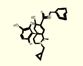 CCc1ccc(O)c(OC)c1[C@]12CCN(CC3CC3)[C@H](C)C1C=C(C(=O)NCc1ccccc1)C(O)C2